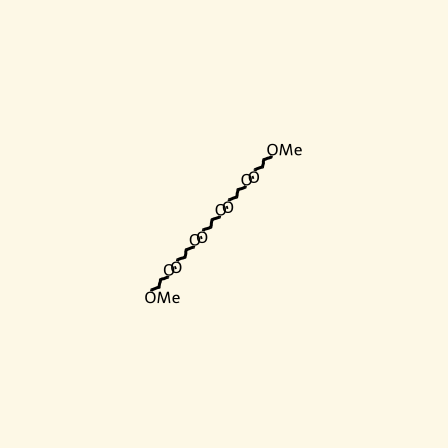 COCCCCOOCCCCOOCCCCOOCCCCOOCCCCOC